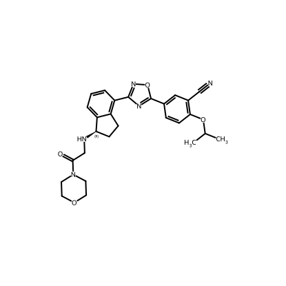 CC(C)Oc1ccc(-c2nc(-c3cccc4c3CC[C@H]4NCC(=O)N3CCOCC3)no2)cc1C#N